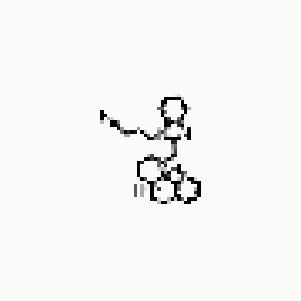 N#CCCCn1c(CN2CCC[C@@H]3CCc4cccnc4[C@H]32)nc2ccccc21